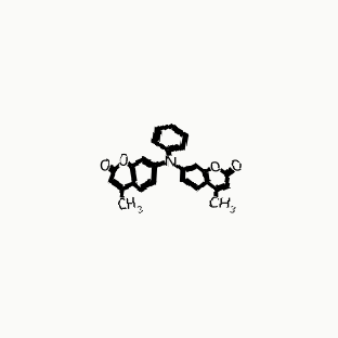 Cc1cc(=O)oc2cc(N(c3ccccc3)c3ccc4c(C)cc(=O)oc4c3)ccc12